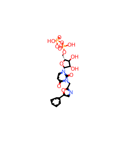 O=c1ccn([C@@H]2O[C@H](COP(=O)(O)OP(=O)(O)O)C(O)C2O)c(=O)n1Cc1ncc(-c2ccccc2)o1